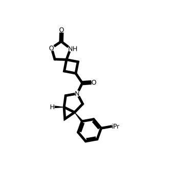 CC(C)c1cccc([C@@]23C[C@@H]2CN(C(=O)C2CC4(COC(=O)N4)C2)C3)c1